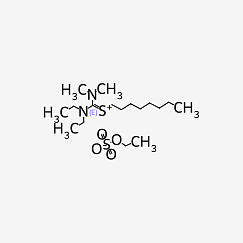 CCCCCCCC/[S+]=C(\N(C)C)N(CC)CC.CCOS(=O)(=O)[O-]